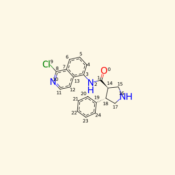 O=C(Nc1cccc2c(Cl)nccc12)[C@H]1CNC[C@@H]1c1ccccc1